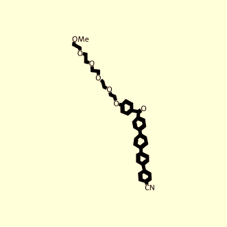 COCCOCCOCCOCCOCCOc1ccc(C(=O)c2ccc(-c3ccc(-c4ccc(-c5ccc(C#N)cc5)cc4)cc3)cc2)cc1